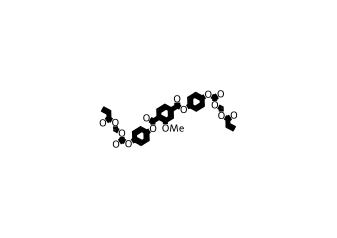 C=CC(=O)OCOC(=O)Oc1ccc(OC(=O)c2ccc(C(=O)Oc3ccc(OC(=O)OCOC(=O)C=C)cc3)c(OC)c2)cc1